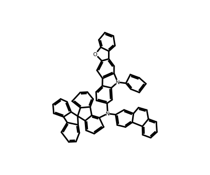 c1ccc(-n2c3cc(N(c4ccc5c(ccc6ccccc65)c4)c4cccc5c4-c4ccccc4C54c5ccccc5-c5ccccc54)ccc3c3cc4oc5ccccc5c4cc32)cc1